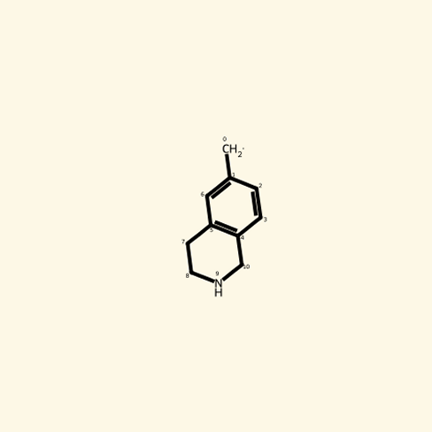 [CH2]c1ccc2c(c1)CCNC2